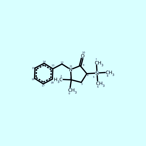 CC1(C)CC([Si](C)(C)C)C(=O)N1Cc1ccccc1